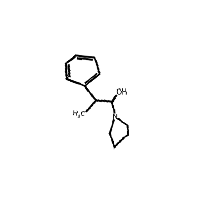 CC(c1ccccc1)C(O)N1CCCC1